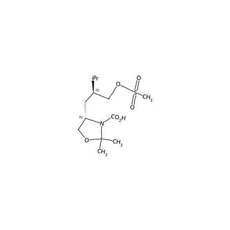 CC(C)[C@@H](COS(C)(=O)=O)C[C@H]1COC(C)(C)N1C(=O)O